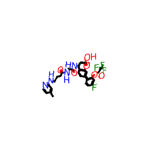 Cc1ccnc(NCCCC(=O)NCC(=O)NC(CC(=O)O)c2ccc(-c3ccc(F)cc3OC(=O)C(F)(F)F)cc2)c1